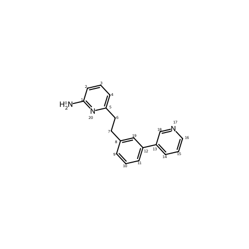 Nc1cccc(CCc2cccc(-c3cccnc3)c2)n1